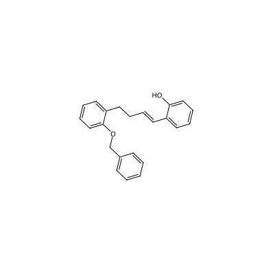 Oc1ccccc1/C=C/CCc1ccccc1OCc1ccccc1